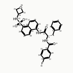 O=C(N[C@@H](Cc1ccccc1)C(=O)Nc1cccc2c(S(=O)(=O)NC3COC3)cccc12)c1ccc(F)cc1